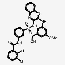 COc1cc(CO)cc(Nc2nc3ccccc3nc2NS(=O)(=O)c2cccc(NC(=O)c3cccc(Cl)c3Cl)c2)c1